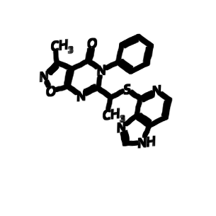 Cc1noc2nc(C(C)Sc3nccc4[nH]cnc34)n(-c3ccccc3)c(=O)c12